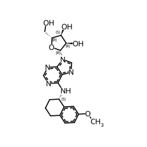 COc1ccc2c(c1)[C@@H](Nc1ncnc3c1ncn3[C@@H]1O[C@H](CO)[C@@H](O)[C@H]1O)CCC2